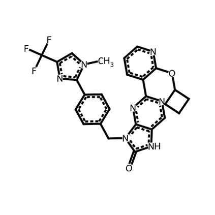 Cn1cc(C(F)(F)F)nc1-c1ccc(Cn2c(=O)[nH]c3cnc(-c4cccnc4OC4CCC4)nc32)cc1